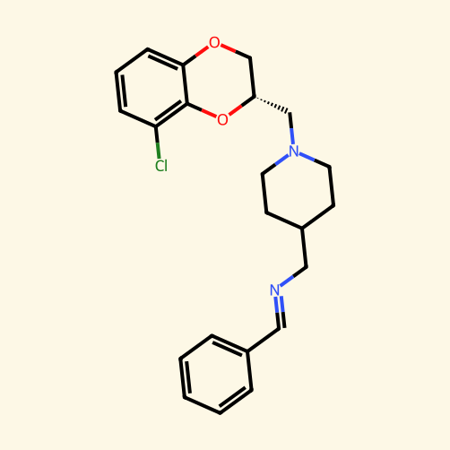 Clc1cccc2c1O[C@@H](CN1CCC(CN=Cc3ccccc3)CC1)CO2